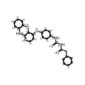 O=C(Cc1ccccc1)NC(=S)Nc1ccc(Oc2ccnc3c2Oc2ccccc2N3)cc1